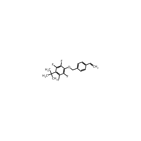 C=Cc1ccc(COc2c(F)c(F)c(C(C)(C)C)c(F)c2F)cc1